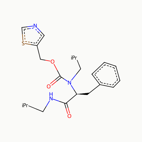 CC(C)CNC(=O)[C@H](Cc1ccccc1)N(CC(C)C)C(=O)OCc1cncs1